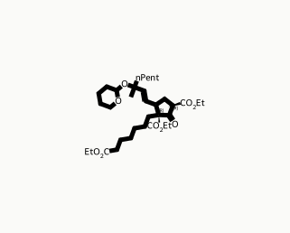 CCCCCC(C)(C=CC1C[C@@H](C(=O)OCC)C(=O)[C@]1(CCCCCCC(=O)OCC)C(=O)OCC)OC1CCCCO1